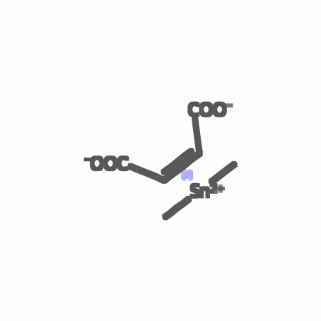 O=C([O-])/C=C\C(=O)[O-].[CH3][Sn+2][CH3]